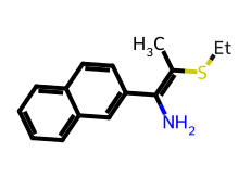 CCS/C(C)=C(\N)c1ccc2ccccc2c1